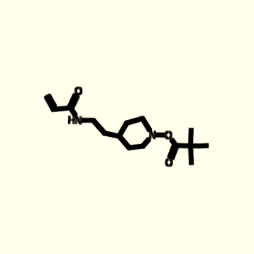 C=CC(=O)NCCC1CCN(OC(=O)C(C)(C)C)CC1